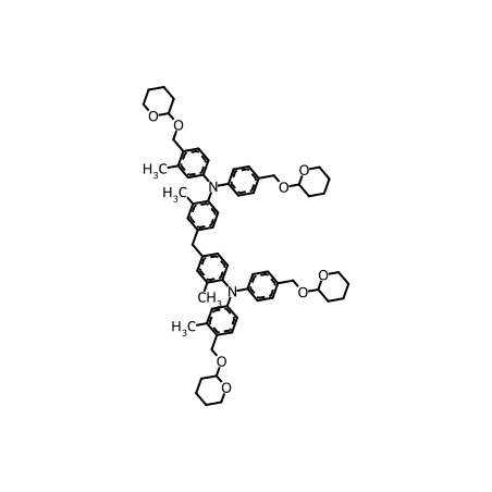 Cc1cc(N(c2ccc(COC3CCCCO3)cc2)c2ccc(Cc3ccc(N(c4ccc(COC5CCCCO5)cc4)c4ccc(COC5CCCCO5)c(C)c4)c(C)c3)cc2C)ccc1COC1CCCCO1